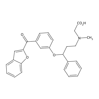 CN(CCC(Oc1cccc(C(=O)c2cc3ccccc3o2)c1)c1ccccc1)CC(=O)O